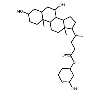 CC(CCC(=O)OC1CCSC(O)C1)C1CCC2C3C(O)CC4CC(O)CCC4(C)C3CCC12C